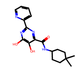 CC1(C)CCC(NC(=O)c2nc(-c3ccccn3)nc(O)c2O)CC1